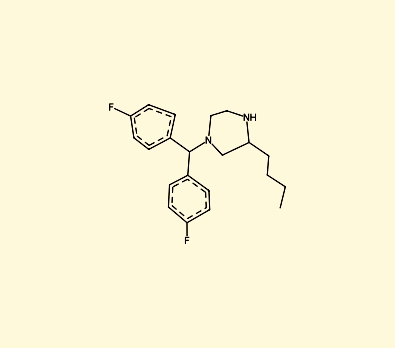 CCCCC1CN(C(c2ccc(F)cc2)c2ccc(F)cc2)CCN1